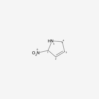 O=[N+]([O-])C1C=C[C]N1